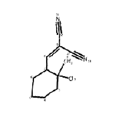 CC1(Cl)CCCCC1C=C(C#N)C#N